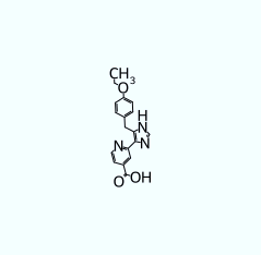 CCOc1ccc(Cc2[nH]cnc2-c2cc(C(=O)O)ccn2)cc1